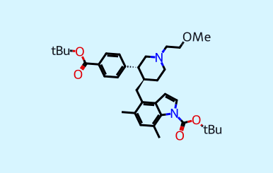 COCCN1CC[C@@H](Cc2c(C)cc(C)c3c2ccn3C(=O)OC(C)(C)C)[C@H](c2ccc(C(=O)OC(C)(C)C)cc2)C1